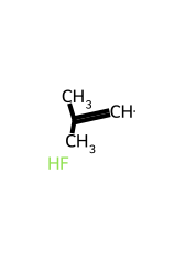 F.[CH]=C(C)C